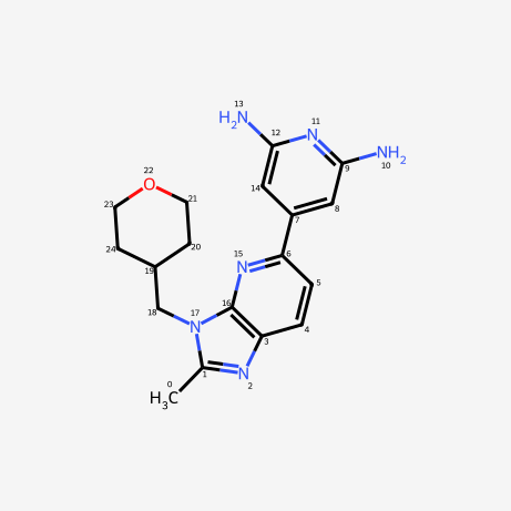 Cc1nc2ccc(-c3cc(N)nc(N)c3)nc2n1CC1CCOCC1